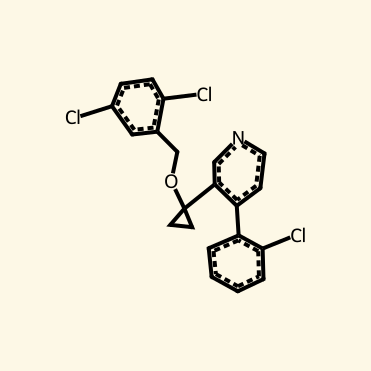 Clc1ccc(Cl)c(COC2(c3cnccc3-c3ccccc3Cl)CC2)c1